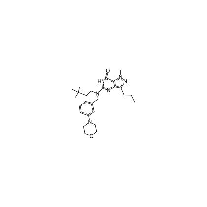 CCCc1nn(C)c2c(=O)[nH]c(N(CCC(C)(C)C)Cc3cccc(N4CCOCC4)c3)nc12